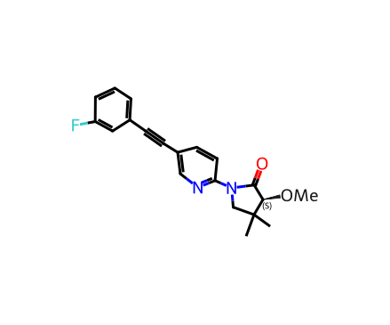 CO[C@@H]1C(=O)N(c2ccc(C#Cc3cccc(F)c3)cn2)CC1(C)C